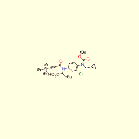 CC(C)[Si](C#CC(=O)N(c1ccc(N(CC2CC2)C(=O)OC(C)(C)C)c(Cl)c1)C(C(=O)O)C(C)(C)C)(C(C)C)C(C)C